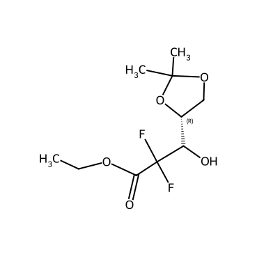 CCOC(=O)C(F)(F)C(O)[C@H]1COC(C)(C)O1